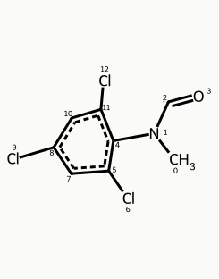 CN([C]=O)c1c(Cl)cc(Cl)cc1Cl